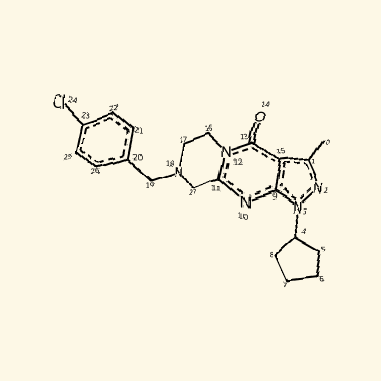 Cc1nn(C2CCCC2)c2nc3n(c(=O)c12)CCN(Cc1ccc(Cl)cc1)C3